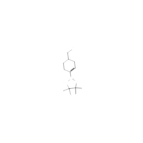 CC1(C)OB(C2=CCC(CF)CC2)OC1(C)C